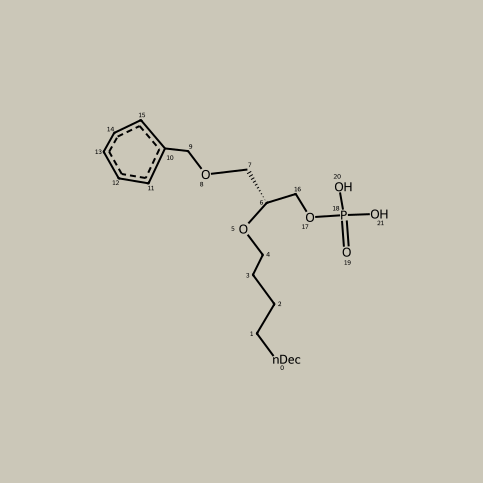 CCCCCCCCCCCCCCO[C@H](COCc1ccccc1)COP(=O)(O)O